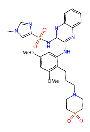 COc1cc(Nc2nc3ccccc3nc2NS(=O)(=O)c2cn(C)cn2)c(CCCN2CCS(=O)(=O)CC2)c(OC)c1